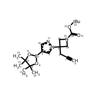 C#CCC1(n2cc(B3OC(C)(C)C(C)(C)O3)cn2)CN(C(=O)OC(C)(C)C)C1